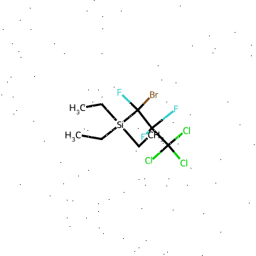 CC[Si](CC)(CC)C(F)(Br)C(F)(F)C(Cl)(Cl)Cl